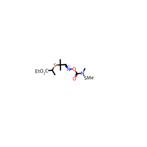 CCOC(=O)C(C)SC(C)(C)/C=N/OC(=O)N(C)SC